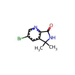 CC1(C)NC(=O)c2ncc(Br)cc21